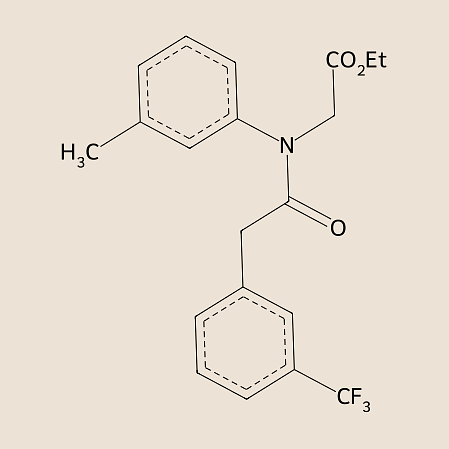 CCOC(=O)CN(C(=O)Cc1cccc(C(F)(F)F)c1)c1cccc(C)c1